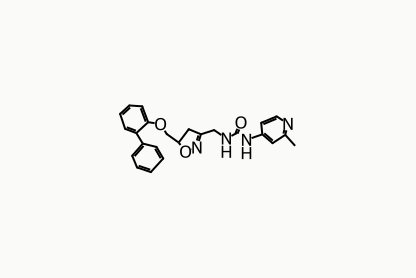 Cc1cc(NC(=O)NCC2=NOC(COc3ccccc3-c3ccccc3)C2)ccn1